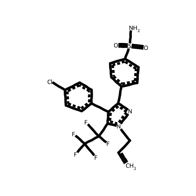 C=CCn1nc(-c2ccc(S(N)(=O)=O)cc2)c(-c2ccc(Cl)cc2)c1C(F)(F)C(F)(F)F